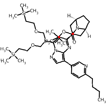 CCCCc1ccc(-c2cnn3c(N(COCC[Si](C)(C)C)COCC[Si](C)(C)C)cc([C@H]4C[C@H]5CC[C@@H](C4)N5C(=O)OC(C)(C)C)nc23)cn1